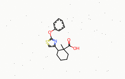 CC1(C(=O)O)CCCCC1c1csc(Oc2ccccc2)n1